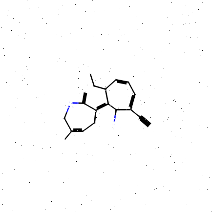 C#CC1=CC=CC(CC)/C(=C2/CC=C(C)CNC2=C)C1N